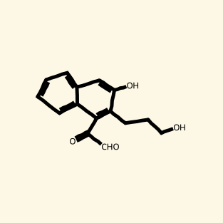 O=CC(=O)c1c(CCCO)c(O)cc2ccccc12